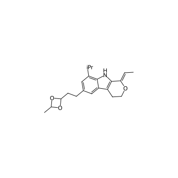 C/C=C1\OCCc2c1[nH]c1c(C(C)C)cc(CCC3OC(C)O3)cc21